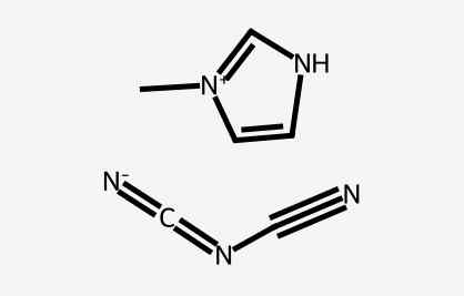 C[n+]1cc[nH]c1.N#CN=C=[N-]